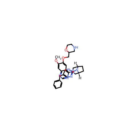 COc1cc2ncnc(N3C[C@H]4CC[C@@H](C3)N4c3ncc(Cc4ccccc4)cn3)c2cc1OCC1CNCCO1